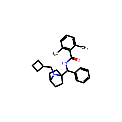 Cc1cccc(C)c1C(=O)NC(c1ccccc1)C12CCC(CC1)N2CC1CCC1